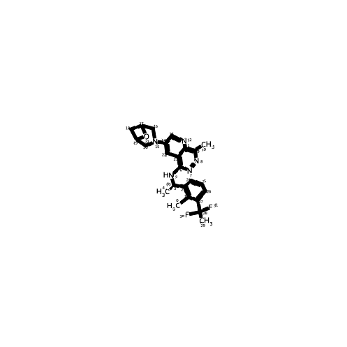 Cc1c([C@@H](C)Nc2nnc(C)c3ncc(N4CC5CC(C4)O5)cc23)cccc1C(C)(F)F